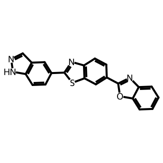 c1ccc2oc(-c3ccc4nc(-c5ccc6[nH]ncc6c5)sc4c3)nc2c1